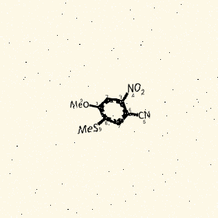 COc1cc([N+](=O)[O-])c(C#N)cc1SC